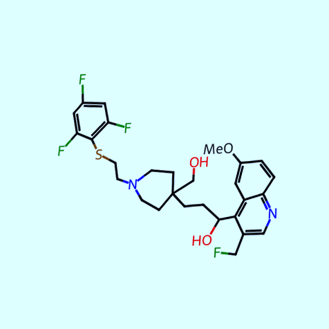 COc1ccc2ncc(CF)c(C(O)CCC3(CO)CCN(CCSc4c(F)cc(F)cc4F)CC3)c2c1